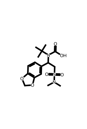 CN(C)S(=O)(=O)CC(c1ccc2c(c1)OCO2)N(C(=O)O)C(C)(C)C